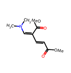 COC(=O)C=CC(=CN(C)C)C(=O)OC